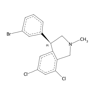 CN1Cc2c(Cl)cc(Cl)cc2[C@@H](c2cccc(Br)c2)C1